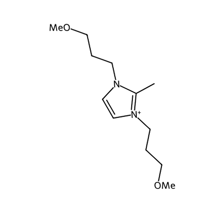 COCCCn1cc[n+](CCCOC)c1C